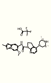 COc1cn2nc(C)cc2cc1NC(=O)N1CCc2c(N3C[C@@H](C)N[C@@H](C)C3)ccnc21.O=C(O)C(F)(F)F